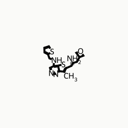 Cc1c(C[C@H](N)CC2COC2)sc2c(NCc3cccs3)cnnc12